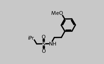 COc1cccc(CCNS(=O)(=O)CC(C)C)c1